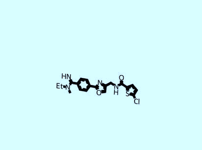 CCN(C)C(=N)c1ccc(-c2nc(CNC(=O)c3ccc(Cl)s3)co2)cc1